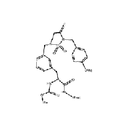 CCCCCNC(=O)[C@H](Cc1cccc(CN2CC(=O)N(Cc3ccc(OC)cc3)S2(=O)=O)c1)NC(=O)OC(C)(C)C